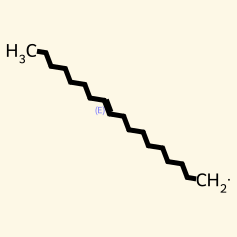 [CH2]CCCCCCCC/C=C/CCCCCCC